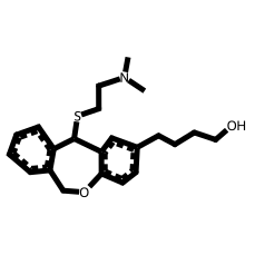 CN(C)CCSC1c2ccccc2COc2ccc(CCCCO)cc21